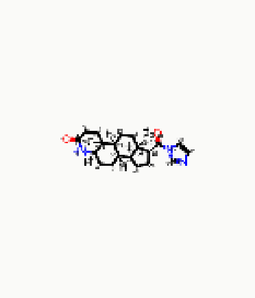 C[C@]12C=CC(=O)N[C@@H]1CC[C@@H]1[C@@H]2CC[C@]2(C)[C@@H](C(=O)n3ccnc3)CC[C@@H]12